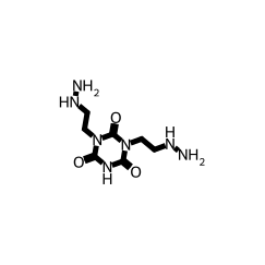 NNCCn1c(=O)[nH]c(=O)n(CCNN)c1=O